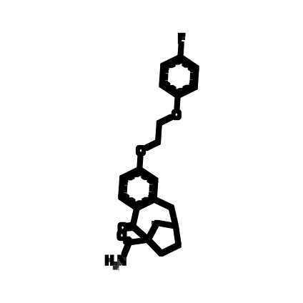 NC(=O)C12[CH]C(CC1)Cc1cc(OCCOc3ccc(F)cc3)ccc1C2=O